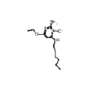 CCCCCCNc1cc(OCC)nc(N)[n+]1[O-]